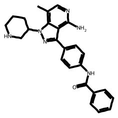 Cc1cnc(N)c2c(-c3ccc(NC(=O)c4ccccc4)cc3)nn(C3CCCNC3)c12